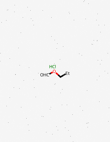 CCCOC=O.Cl